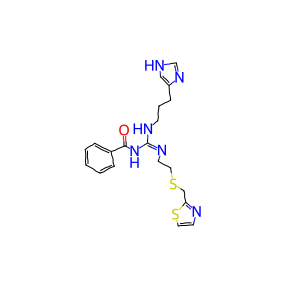 O=C(N/C(=N\CCSCc1nccs1)NCCCc1c[nH]cn1)c1ccccc1